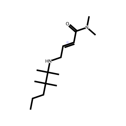 CCCC(C)(C)C(C)(C)NC/C=C/C(=O)N(C)C